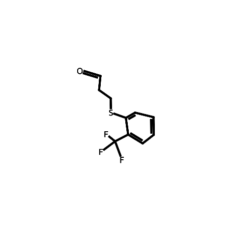 O=CCCSc1ccccc1C(F)(F)F